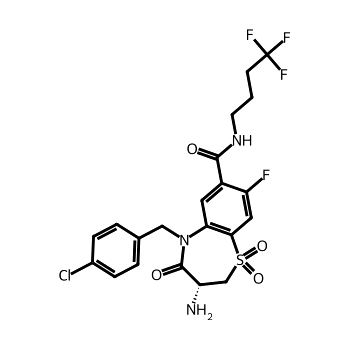 N[C@H]1CS(=O)(=O)c2cc(F)c(C(=O)NCCCC(F)(F)F)cc2N(Cc2ccc(Cl)cc2)C1=O